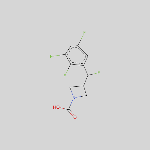 O=C(O)N1CC(C(F)c2cc(F)cc(F)c2F)C1